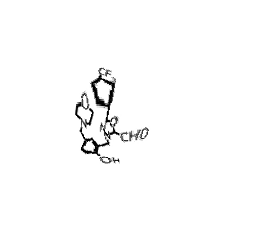 O=CC1OC(c2ccc(C(F)(F)F)cc2)=NN1Cc1cc(CN2CCOCC2)ccc1O